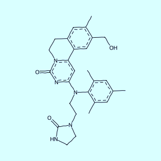 Cc1cc(C)c(N(CCN2CCNC2=O)c2cc3n(c(=O)n2)CCc2cc(C)c(CO)cc2-3)c(C)c1